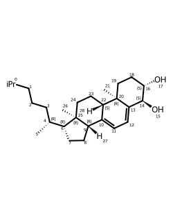 CC(C)CCC[C@@H](C)[C@H]1CC[C@H]2C3=CC=C4[C@H](O)[C@@H](O)CC[C@]4(C)[C@H]3CC[C@]12C